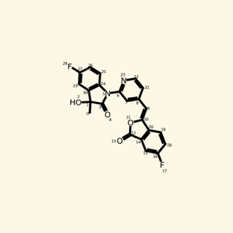 CC1(O)C(=O)N(c2cc(C=C3OC(=O)c4cc(F)ccc43)ccn2)c2ccc(F)cc21